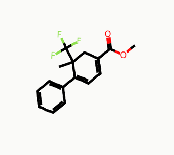 COC(=O)C1=CC=C(c2ccccc2)C(C)(C(F)(F)F)C1